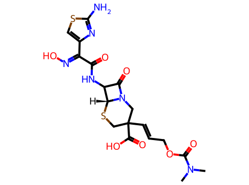 CN(C)C(=O)OCC=CC1(C(=O)O)CS[C@@H]2C(NC(=O)C(=NO)c3csc(N)n3)C(=O)N2C1